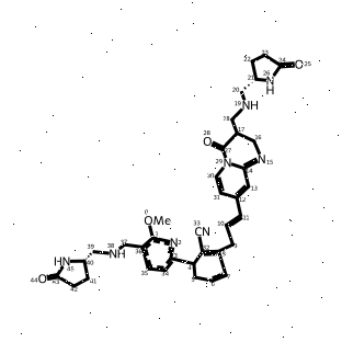 COc1nc(C2CC=CC(C/C=C/C3=CC4=NCC(CNC[C@@H]5CCC(=O)N5)C(=O)N4C=C3)=C2C#N)ccc1CNC[C@@H]1CCC(=O)N1